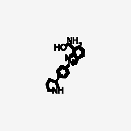 NC(O)c1cccc2cn(-c3ccc([C@@H]4CCCNC4)cc3)nc12